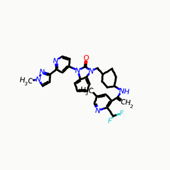 C=C(NC1CCC(Cn2c(=O)n(-c3ccnc(-c4ccn(C)n4)c3)c3ccccc32)CC1)c1cc(C)cnc1C(F)F